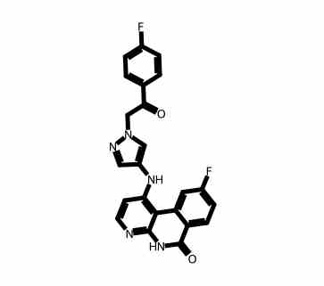 O=C(Cn1cc(Nc2ccnc3[nH]c(=O)c4ccc(F)cc4c23)cn1)c1ccc(F)cc1